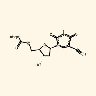 C#Cc1cn([C@H]2C[C@H](O)[C@@H](COC(=O)CCCCCCC)O2)c(=O)[nH]c1=O